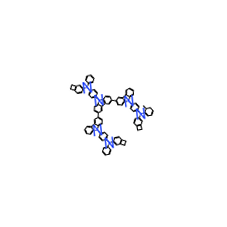 CC1CC=CC=C1N(c1ccc(-n2c3ccccc3c3cc(-c4ccc5c(c4)c4cc(-c6ccc7c(c6)c6ccccc6n7-c6ccc(N(c7ccccc7)c7ccc8c(c7)CC8)cc6)ccc4n5-c4ccc(N(c5ccccc5)c5ccc6c(c5)CC6)cc4)ccc32)cc1)c1ccc2c(c1)CC2